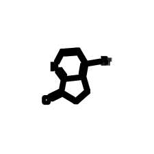 O=C1CCc2c(Br)ccnc21